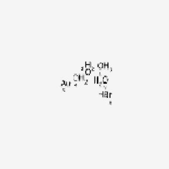 Br.O.O.O.O.[Au]